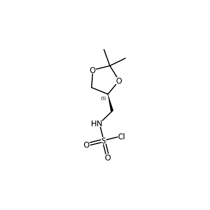 CC1(C)OC[C@H](CNS(=O)(=O)Cl)O1